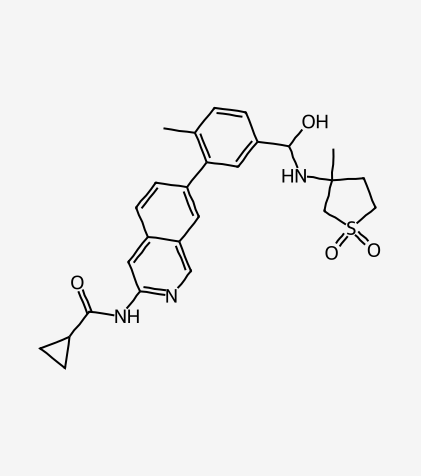 Cc1ccc(C(O)NC2(C)CCS(=O)(=O)C2)cc1-c1ccc2cc(NC(=O)C3CC3)ncc2c1